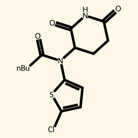 CCCCC(=O)N(c1ccc(Cl)s1)C1CCC(=O)NC1=O